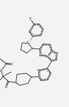 CC(=O)OC(C)(C)C(=O)N1CCN(c2cccc(-c3cnc4ccc(N5CCC[C@@H]5c5cccc(F)c5)nn34)n2)CC1